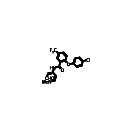 CN/C=C\C(=C/C=O)NC(=O)c1cc(C(F)(F)F)ccc1Oc1ccc(Cl)cc1